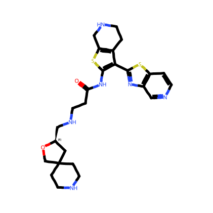 O=C(CCNC[C@H]1CC2(CCNCC2)CO1)Nc1sc2c(c1-c1nc3cnccc3s1)CCNC2